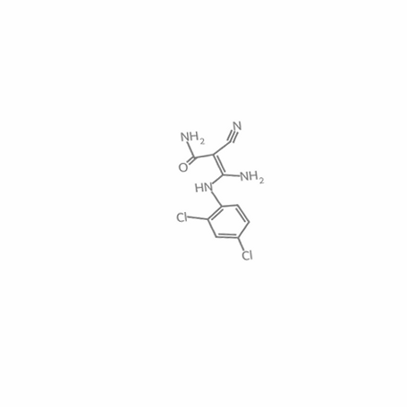 N#CC(C(N)=O)=C(N)Nc1ccc(Cl)cc1Cl